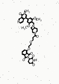 COc1cc(-c2cn(C)c(=O)c3cnccc23)cc(OC)c1CN1CC2CN(C(=O)CCOCCOc3cccc4c3C(=O)N(C3CCC(=O)NC3=O)C4=O)CCC21